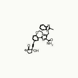 Cc1nc2ccccc2n1Cc1c(C(N)=O)nc2n1CCOc1ccc(C#C[C@]3(O)CCN(C)C3=O)cc1-2